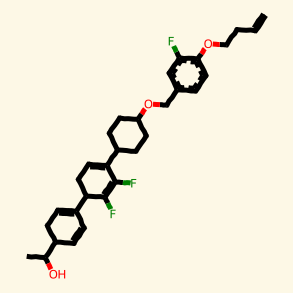 C=CCCOc1ccc(COC2CCC(C3=CCC(C4=CCC(C(C)O)C=C4)C(F)=C3F)CC2)cc1F